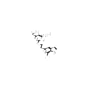 CSc1cc(N)nc(SCCc2cc3ccsc3c(Cl)n2)n1